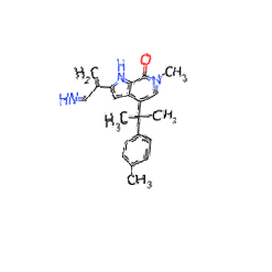 C=C(C=N)c1cc2c(C(C)(C)c3ccc(C)cc3)cn(C)c(=O)c2[nH]1